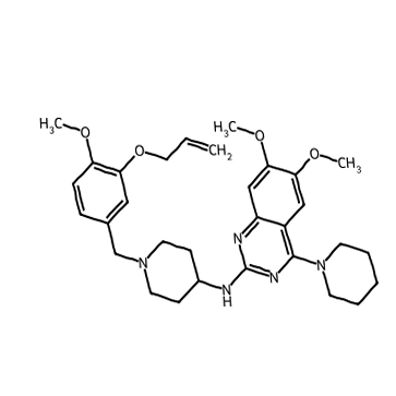 C=CCOc1cc(CN2CCC(Nc3nc(N4CCCCC4)c4cc(OC)c(OC)cc4n3)CC2)ccc1OC